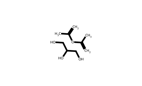 C=C(C)OC(=C)C.OCC(O)CO